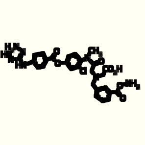 CN(C(=O)CN(CC(=O)O)Cc1cccc(C(=O)ON)c1)c1ccc(OC(=O)c2ccc(NC(N=N)=NN)cc2)cc1Cl